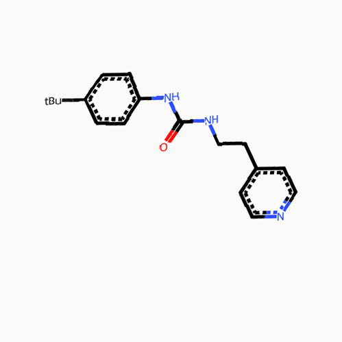 CC(C)(C)c1ccc(NC(=O)NCCc2ccncc2)cc1